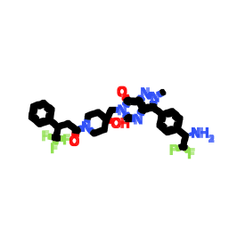 Cn1nc2c(=O)n(CC3(O)CCN(C(=O)CC(c4ccccc4)C(F)(F)F)CC3)cnc2c1-c1ccc([C@H](N)C(F)F)cc1